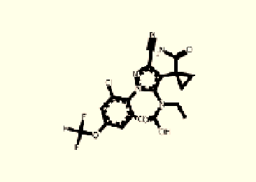 CCN(C(=O)O)c1c(C2(C(N)=O)CC2)c(C#N)nn1-c1c(Cl)cc(OC(F)(F)F)cc1Cl